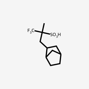 CC(CC1CC2CCC1C2)(C(F)(F)F)S(=O)(=O)O